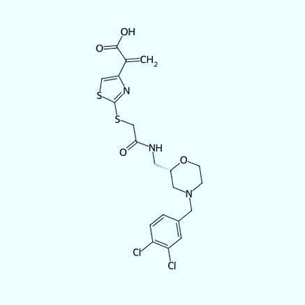 C=C(C(=O)O)c1csc(SCC(=O)NC[C@H]2CN(Cc3ccc(Cl)c(Cl)c3)CCO2)n1